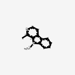 CCCCCCCCn1c2ccccc2c2ccnc(C)c21